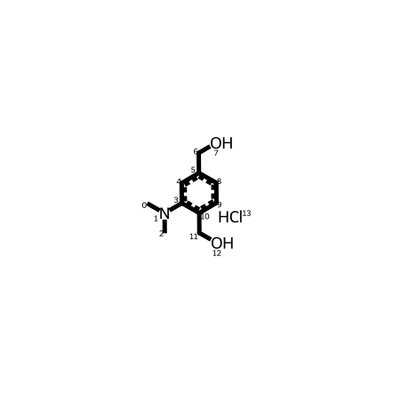 CN(C)c1cc(CO)ccc1CO.Cl